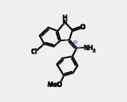 COc1ccc(/C(N)=C2/C(=O)Nc3ccc(Cl)cc32)cc1